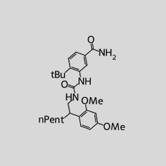 CCCCCC(CNC(=O)Nc1cc(C(N)=O)ccc1C(C)(C)C)c1ccc(OC)cc1OC